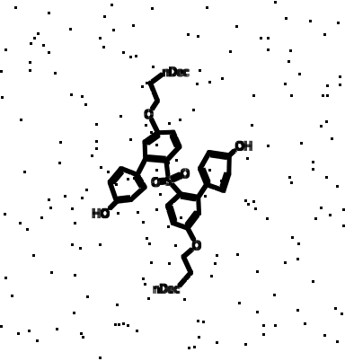 CCCCCCCCCCCCOc1ccc(S(=O)(=O)c2ccc(OCCCCCCCCCCCC)cc2-c2ccc(O)cc2)c(-c2ccc(O)cc2)c1